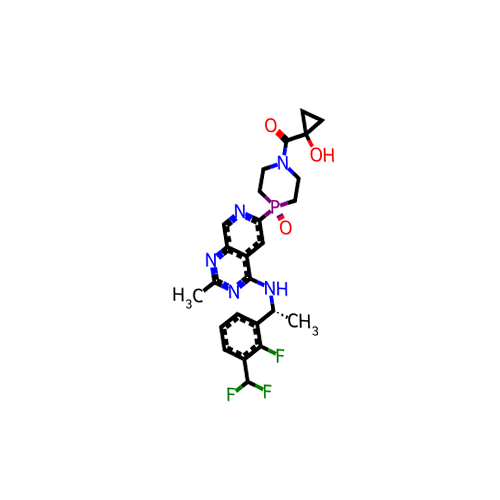 Cc1nc(N[C@H](C)c2cccc(C(F)F)c2F)c2cc(P3(=O)CCN(C(=O)C4(O)CC4)CC3)ncc2n1